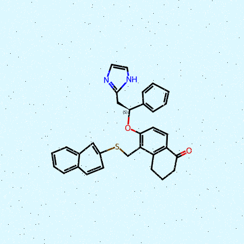 O=C1CCCc2c1ccc(O[C@@H](Cc1ncc[nH]1)c1ccccc1)c2CSc1ccc2ccccc2c1